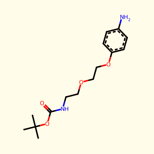 CC(C)(C)OC(=O)NCCOCCOc1ccc(N)cc1